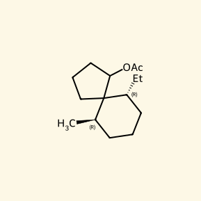 CC[C@@H]1CCC[C@@H](C)C12CCCC2OC(C)=O